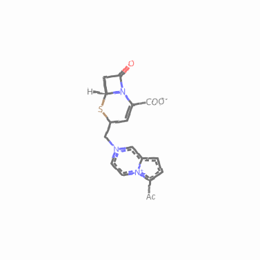 CC(=O)c1ccc2cn(CC3C=C(C(=O)[O-])N4C(=O)C[C@H]4S3)cc[n+]1-2